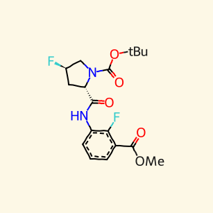 COC(=O)c1cccc(NC(=O)[C@@H]2C[C@@H](F)CN2C(=O)OC(C)(C)C)c1F